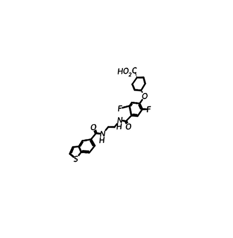 O=C(NCCNC(=O)c1cc(F)c(O[C@H]2CC[C@@H](C(=O)O)CC2)cc1F)c1ccc2sccc2c1